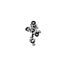 COc1ccccc1Oc1c(NS(=O)(=O)C2=CC=CCC2=S)nc(-c2ncccn2)nc1OCCOc1ncc(Br)cn1